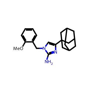 COc1ccccc1Cn1cc(C23CC4CC(CC(C4)C2)C3)nc1N